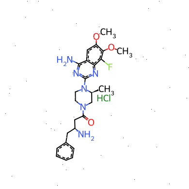 COc1cc2c(N)nc(N3CCN(C(=O)C[C@@H](N)Cc4ccccc4)C[C@@H]3C)nc2c(F)c1OC.Cl